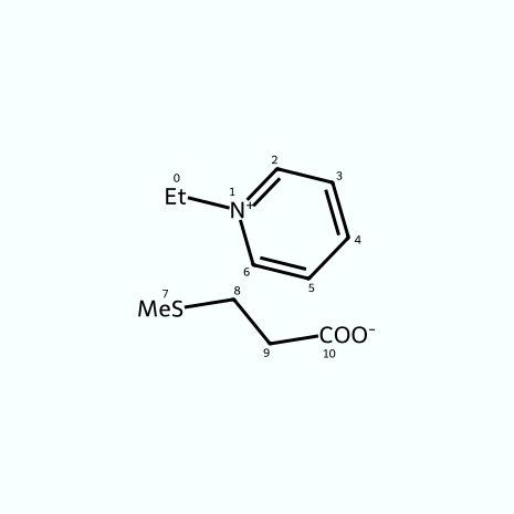 CC[n+]1ccccc1.CSCCC(=O)[O-]